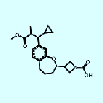 COC(=O)C(C)C(c1ccc2c(c1)OC(C1CN(C(=O)O)C1)CCC2)C1CC1